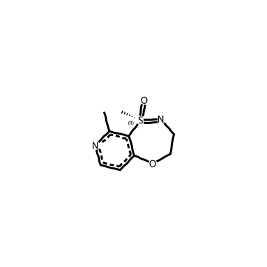 Cc1nccc2c1[S@@](C)(=O)=NCCO2